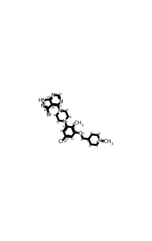 Cc1c(OCC2CCN(C)CC2)cc(Cl)cc1N1CCN(c2ncnc3[nH]nc(Br)c23)CC1